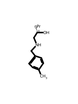 CCC[C@H](O)CNCc1ccc(C)cc1